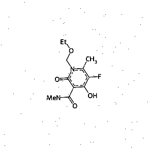 CCOCn1c(C)c(F)c(O)c(C(=O)NC)c1=O